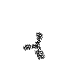 c1ccc(-c2cccc3c4c(-c5cccc(N(c6ccc(-c7ccc(-c8cccc9ccccc89)cc7)cc6)c6ccc(-c7ccc8c(ccc9ccccc98)c7)cc6)c5)cccc4n(-c4ccccc4)c23)cc1